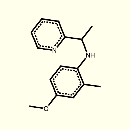 COc1ccc(NC(C)c2ccccn2)c(C)c1